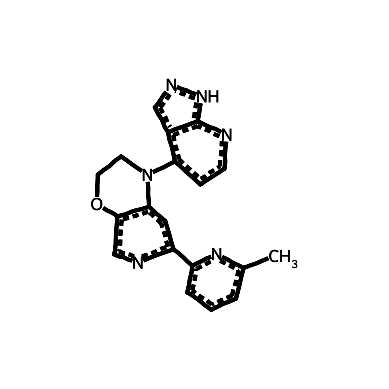 Cc1cccc(-c2cc3c(cn2)OCCN3c2ccnc3[nH]ncc23)n1